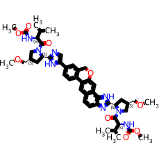 COC[C@H]1C[C@@H](c2ncc(-c3ccc4c(c3)COc3cc5c(ccc6nc([C@@H]7C[C@H](COC)CN7C(=O)[C@@H](NC(=O)OC)C(C)C)[nH]c65)cc3-4)[nH]2)N(C(=O)[C@@H](NC(=O)OC)C(C)C)C1